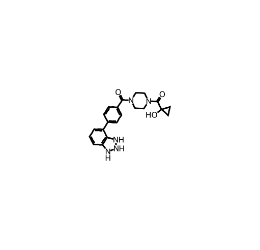 O=C(c1ccc(-c2cccc3c2NNN3)cc1)N1CCN(C(=O)C2(O)CC2)CC1